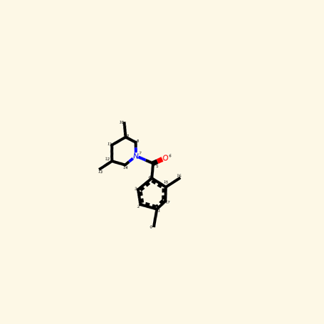 Cc1ccc(C(=O)N2CC(C)CC(C)C2)c(C)c1